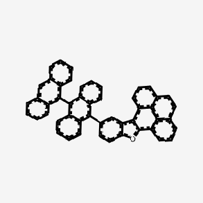 c1ccc2c(-c3c4ccccc4c(-c4ccc5oc6c7cccc8ccc9cccc(c6c5c4)c9c87)c4ccccc34)c3ccccc3cc2c1